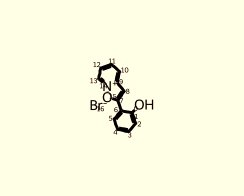 Oc1ccccc1-c1cc2cccc[n+]2o1.[Br-]